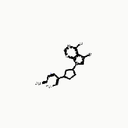 C=C/C=C\C(=C/C)C1CCC(n2cc(Br)c3c(Cl)ncnc32)C1